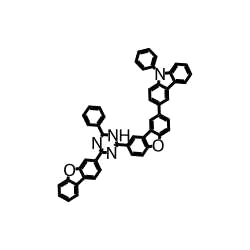 c1ccc(C2N=C(c3ccc4c(c3)oc3ccccc34)N=C(c3ccc4oc5ccc(-c6ccc7c(c6)c6ccccc6n7-c6ccccc6)cc5c4c3)N2)cc1